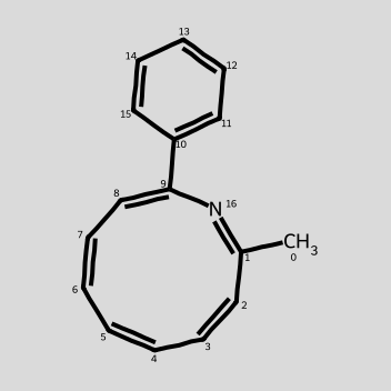 Cc1cccccccc(-c2ccccc2)n1